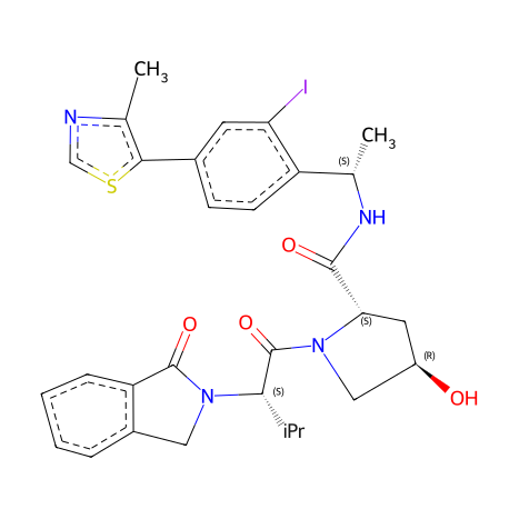 Cc1ncsc1-c1ccc([C@H](C)NC(=O)[C@@H]2C[C@@H](O)CN2C(=O)[C@H](C(C)C)N2Cc3ccccc3C2=O)c(I)c1